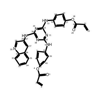 C=CC(=O)Oc1ccc(Nc2nc(Nc3ccc(OC(=O)C=C)cc3)nc(Nc3cnc4ccccc4c3)n2)cc1